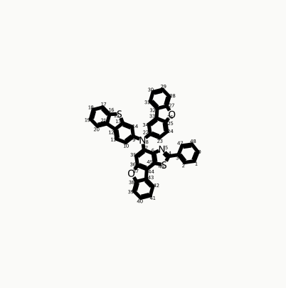 c1ccc(-c2nc3c(N(c4ccc5c(c4)sc4ccccc45)c4ccc5oc6ccccc6c5c4)cc4oc5ccccc5c4c3s2)cc1